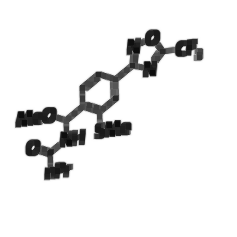 CCCC(=O)NC(OC)c1ccc(-c2noc(C(F)(F)F)n2)cc1SC